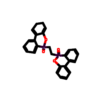 O=P1(CCP2(=O)Oc3ccccc3-c3ccccc32)OC2=CCCC=C2c2ccccc21